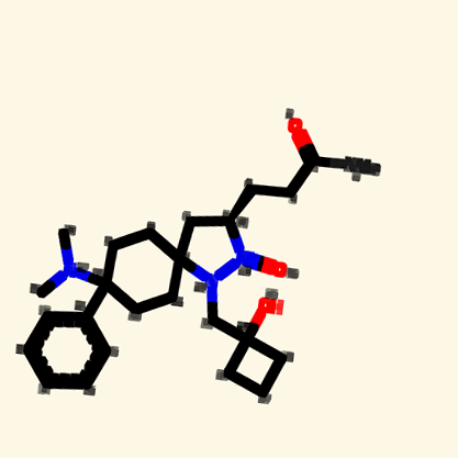 CNC(=O)CC[C@@H]1CC2(CCC(c3ccccc3)(N(C)C)CC2)N(CC2(O)CCC2)[N+]1=O